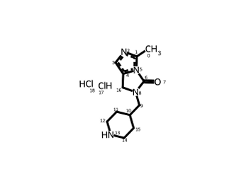 Cc1ncc2n1C(=O)N(CC1CCNCC1)C2.Cl.Cl